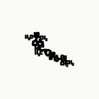 Cc1noc(-c2ccc(S(=O)(=O)N3CCN(CC(C)Nc4ncnc5c(-c6c(C)noc6C)cccc45)CC3)s2)c1C